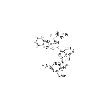 C#C[C@@]1(Cl)[C@H](O)[C@@H](COP(=O)(N[C@H](C)C(=O)OC(C)C)Oc2ccccc2)O[C@H]1n1cnc2c(NC)nc(N)nc21